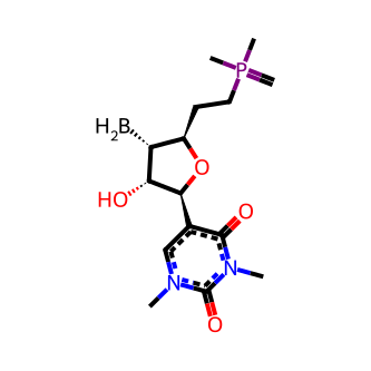 B[C@H]1[C@@H](O)[C@H](c2cn(C)c(=O)n(C)c2=O)O[C@@H]1CCP(=C)(C)C